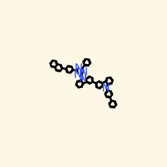 c1ccc(-c2ccc(-n3c4ccccc4c4cc(-c5ccc6c(c5)c5ccccc5n6-c5nc(-c6ccccc6)nc(-c6ccc(-c7ccc8ccccc8c7)cc6)n5)ccc43)cc2)cc1